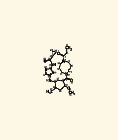 C=CC(=O)N1CCCN(C(=O)C2CC(Sc3cnc(NC(=O)C4CC4)s3)C(C)CC2OC)CCC1